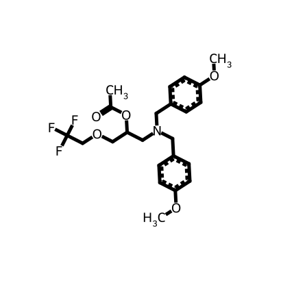 COc1ccc(CN(Cc2ccc(OC)cc2)CC(COCC(F)(F)F)OC(C)=O)cc1